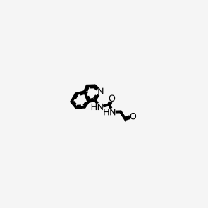 O=[C]CNC(=O)Nc1nccc2ccccc12